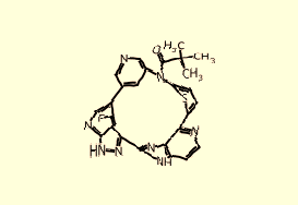 CC(C)(C)C(=O)n1c2cncc(c2)c2cnc3[nH]nc(c4nc5c(ccnc5c5ccc1s5)[nH]4)c3c2F